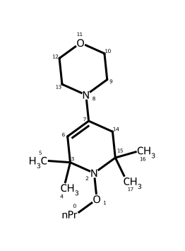 CCCON1C(C)(C)C=C(N2CCOCC2)CC1(C)C